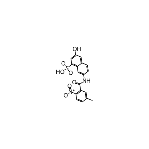 Cc1ccc([N+](=O)[O-])c(C(=O)Nc2ccc3cc(O)cc(S(=O)(=O)O)c3c2)c1